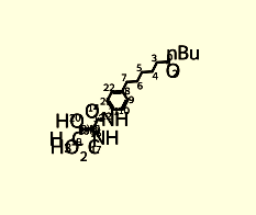 CCCCC(=O)CCCCCc1ccc(NC(=O)[C@@H](NC(=O)O)[C@@H](C)O)cc1